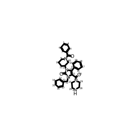 O=C(c1ccccc1)N1CCCC(n2c(-c3ccccc3)c(C(=O)N3CCNCC3)n(Cc3ccccc3)c2=O)C1